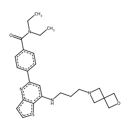 CCN(CC)C(=O)c1ccc(-c2cc(NCCCN3CC4(COC4)C3)c3sccc3n2)cc1